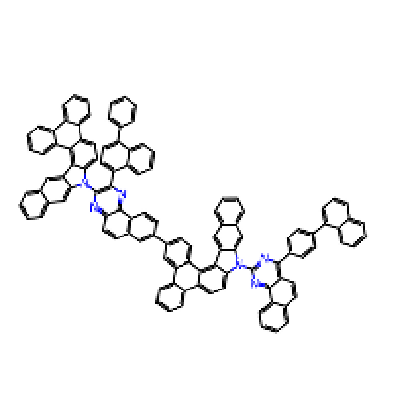 c1ccc(-c2ccc(-c3nc4c(ccc5cc(-c6ccc7c(c6)c6ccccc6c6ccc8c(c9cc%10ccccc%10cc9n8-c8nc(-c9ccc(-c%10cccc%11ccccc%10%11)cc9)c9ccc%10ccccc%10c9n8)c67)ccc54)nc3-n3c4cc5ccccc5cc4c4c5c6ccccc6c6ccccc6c5ccc43)c3ccccc23)cc1